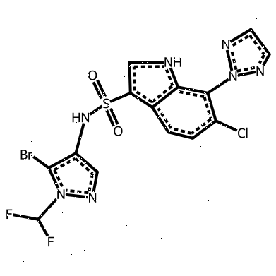 O=S(=O)(Nc1cnn(C(F)F)c1Br)c1c[nH]c2c(-n3nccn3)c(Cl)ccc12